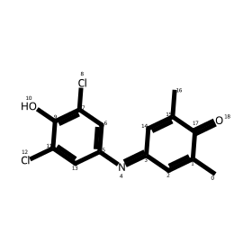 CC1=CC(=Nc2cc(Cl)c(O)c(Cl)c2)C=C(C)C1=O